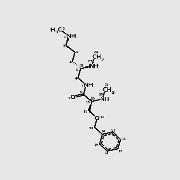 CNCCC[C@@H](CNC(=O)[C@H](COCc1ccccc1)NC)NC